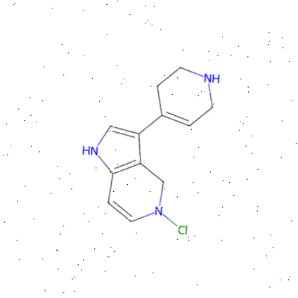 ClN1C=Cc2[nH]cc(C3=CCNCC3)c2C1